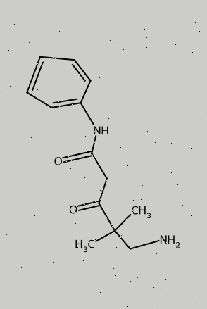 CC(C)(CN)C(=O)CC(=O)Nc1ccccc1